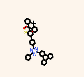 CC1(C)c2ccccc2C2(c3ccccc3Sc3cc(-c4ccc(-c5nc(-c6ccccc6)nc(-c6ccc7c8ccccc8c8ccccc8c7c6)n5)cc4)ccc32)c2ccccc21